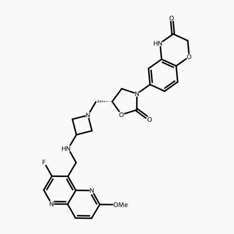 COc1ccc2ncc(F)c(CNC3CN(C[C@@H]4CN(c5ccc6c(c5)NC(=O)CO6)C(=O)O4)C3)c2n1